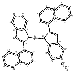 C1=C(c2cccc3ccccc23)[CH]([Hf+2][CH]2C(c3cccc4ccccc34)=Cc3ccccc32)c2ccccc21.[Cl-].[Cl-]